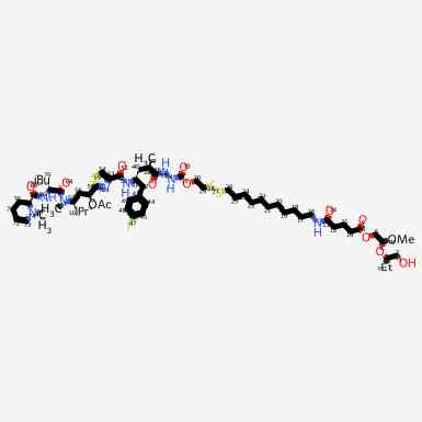 CCC(CO)OC(COC(=O)CCCC(=O)NCCCCCCCCCCCSSCCOC(=O)NNC(=O)[C@@H](C)C[C@H](Cc1ccc(F)cc1)NC(=O)c1csc([C@@H](C[C@H](C(C)C)N(C)C(=O)C(NC(=O)[C@H]2CCCCN2C)[C@@H](C)CC)OC(C)=O)n1)OC